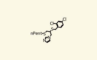 CCCCCSCC(Cn1ccnc1)SCc1ccc(Cl)cc1Cl